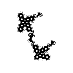 c1ccc2c(c1)-c1cc3ccccc3cc1C2(c1ccc2cc(OCC3CO3)ccc2c1)c1ccc2cc(OCC3OC3C3CC(Oc4ccc5cc(C6(c7ccc8cc(OCC9CO9)ccc8c7)c7cc8ccccc8cc7-c7cc8ccccc8cc76)ccc5c4)O3)ccc2c1